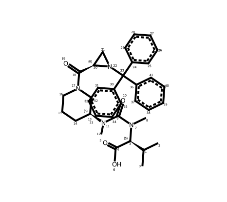 CC(C)[C@@H](C(=O)O)N(C)C(=O)N(C)[C@H]1CCCN(C(=O)[C@H]2CN2C(c2ccccc2)(c2ccccc2)c2ccccc2)C1